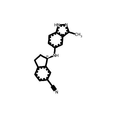 Cc1n[nH]c2ccc(N[C@@H]3CCc4ccc(C#N)cc43)cc12